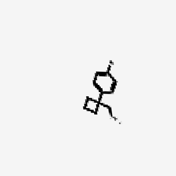 CCC1(c2ccc(Br)cc2)CCC1